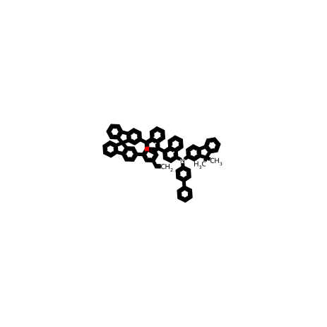 C=Cc1cccc(-c2ccc3c(c2)C2(c4ccccc4-3)c3ccccc3-c3ccc(-c4ccc(-c5ccc(N(c6ccc(-c7ccccc7)cc6)c6ccc7c(c6)C(C)(C)c6ccccc6-7)c6ccccc56)c5ccccc45)cc32)c1